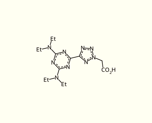 CCN(CC)c1nc(-c2nnn(CC(=O)O)n2)nc(N(CC)CC)n1